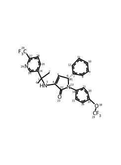 CC(C)(NC1=C[C@H](c2ccccc2)N(c2ccc(OC(F)(F)F)cc2)C1=O)c1ccc(C(F)(F)F)nc1